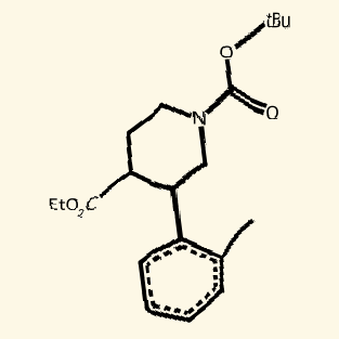 CCOC(=O)C1CCN(C(=O)OC(C)(C)C)CC1c1ccccc1C